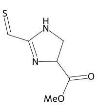 COC(=O)C1CNC(C=S)=N1